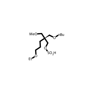 CCCCOC[C@@](CCCOCC)(COC)COS(=O)(=O)O